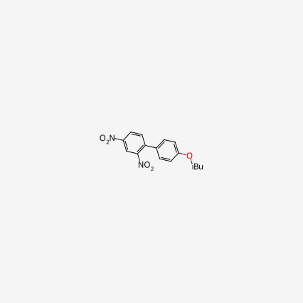 CCC(C)Oc1ccc(-c2ccc([N+](=O)[O-])cc2[N+](=O)[O-])cc1